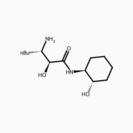 CCCC[C@H](N)[C@H](O)C(=O)N[C@H]1CCCC[C@@H]1O